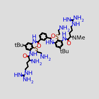 CN[C@H](CCCNC(=N)N)C(=O)Nc1cc(C(C)(C)C)cc(NC(=O)c2cccc(C(=O)Nc3cc(C(C)(C)C)cc(NC(=O)C(N)CCCNC(=N)N)c3SCCN)c2)c1SCCN